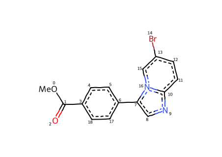 COC(=O)c1ccc(-c2cnc3ccc(Br)cn23)cc1